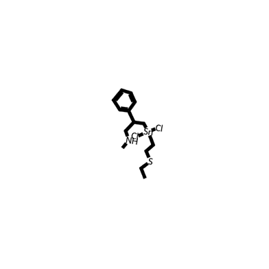 CCSC[CH2][Sn]([Cl])([Cl])[CH2]C(CNC)c1ccccc1